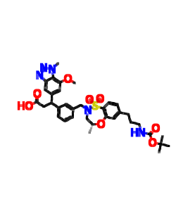 COc1cc(C(CC(=O)O)c2cccc(CN3C[C@@H](C)Oc4cc(CCCNC(=O)OC(C)(C)C)ccc4S3(=O)=O)c2)cc2nnn(C)c12